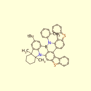 Cc1ccccc1N1B2c3cc(C(C)(C)C)cc4c3N(c3cc5sc6ccccc6c5c(c32)-c2ccc3sc5ccccc5c3c21)C1(C)CCCCC41C